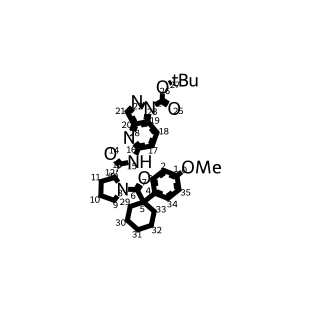 COc1ccc(C2(C(=O)N3CCC[C@@H]3C(=O)Nc3ccc4c(cnn4C(=O)OC(C)(C)C)n3)CCCCC2)cc1